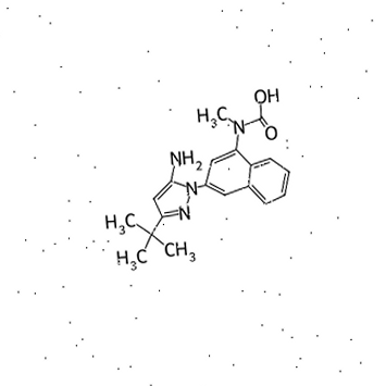 CN(C(=O)O)c1cc(-n2nc(C(C)(C)C)cc2N)cc2ccccc12